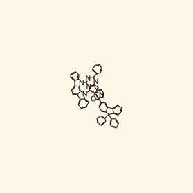 c1ccc(-c2nc(-c3ccccc3)nc(-n3c4ccccc4c4ccc5c6ccccc6n(-c6cccc7nc(-c8ccc9c(c8)-c8ccccc8C9(c8ccccc8)c8ccccc8)oc67)c5c43)n2)cc1